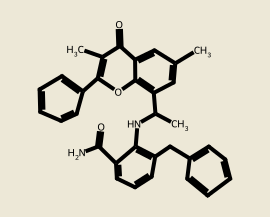 Cc1cc(C(C)Nc2c(Cc3ccccc3)cccc2C(N)=O)c2oc(-c3ccccc3)c(C)c(=O)c2c1